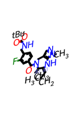 C=C(C)/C=C1/Nc2c(cnn2C)CN(C(=O)c2ccc(CNC(=O)OC(C)(C)C)c(F)c2)/C1=C/C